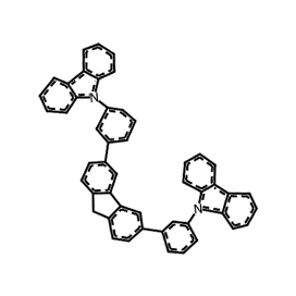 c1cc(-c2ccc3c(c2)-c2cc(-c4cccc(-n5c6ccccc6c6ccccc65)c4)ccc2C3)cc(-n2c3ccccc3c3ccccc32)c1